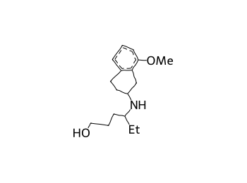 CCC(CCCO)NC1CCc2cccc(OC)c2C1